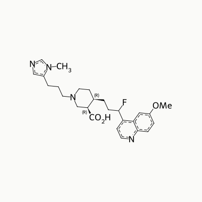 COc1ccc2nccc(C(F)CC[C@@H]3CCN(CCCc4cncn4C)C[C@@H]3C(=O)O)c2c1